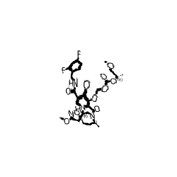 COC[C@H](C)OC(=O)OCOc1c2n(cc(C(=O)NCc3ccc(F)cc3F)c1=O)[C@@H]1CN(C2=O)[C@@H](C)CC[C@]12CC(OC)=NO2